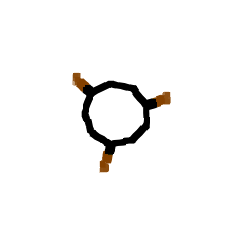 S=C1CCC(=S)CCC(=S)CC1